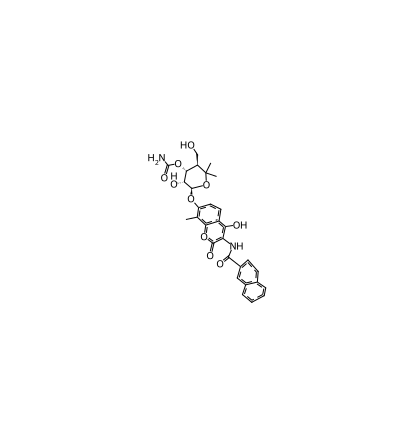 Cc1c(O[C@@H]2OC(C)(C)[C@H](CO)[C@@H](OC(N)=O)[C@H]2O)ccc2c(O)c(NC(=O)c3ccc4ccccc4c3)c(=O)oc12